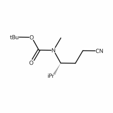 CC(C)[C@@H](CCC#N)N(C)C(=O)OC(C)(C)C